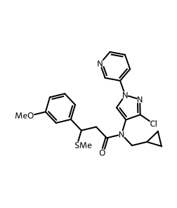 COc1cccc(C(CC(=O)N(CC2CC2)c2cn(-c3cccnc3)nc2Cl)SC)c1